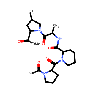 CCC(=O)N1CCCC1C(=O)N1CCCCC1C(=O)NC(C)C(=O)N1CC(C)CC1C(=O)OC